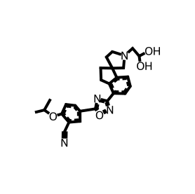 CC(C)Oc1ccc(-c2nc(-c3cccc4c3CCC43CCN(CC(O)O)C3)no2)cc1C#N